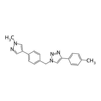 Cc1ccc(-c2cn(Cc3ccc(-c4cnn(C)c4)cc3)nn2)cc1